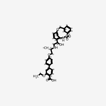 C.CCOc1cc(-c2ccc(OCCNCC(O)c3ccc4cc3NS(=O)(=O)c3cccc(c3)CO4)cc2)ccc1C(=O)O